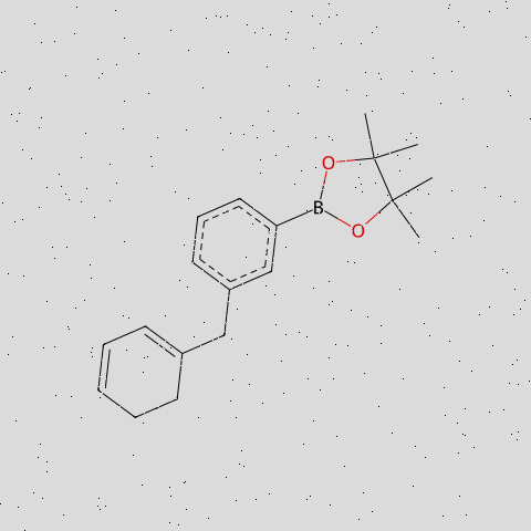 CC1(C)OB(c2cccc(CC3=CC=CCC3)c2)OC1(C)C